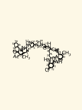 CC(=O)c1c(C)c2cnc(Nc3ccc(N4CCN(CC(=O)NC(C)CCCCNc5cc(Cl)ccc5C(=O)Nc5ccc(C)c(C6CC6)n5)CC4)cn3)nc2n(C2CCCC2)c1=O